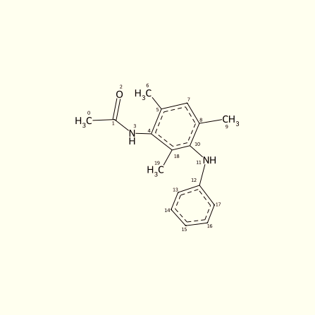 CC(=O)Nc1c(C)cc(C)c(Nc2ccccc2)c1C